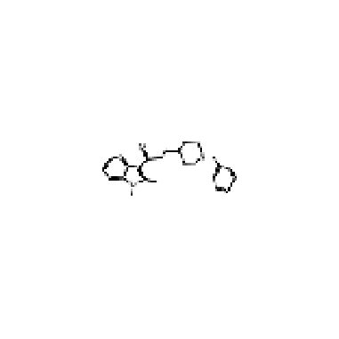 Cc1c(C(=O)CCC2CCN(Cc3ccccc3)CC2)c2ccccc2n1C